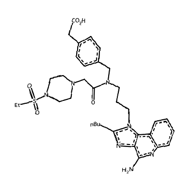 CCCCc1nc2c(N)nc3ccccc3c2n1CCCN(Cc1ccc(CC(=O)O)cc1)C(=O)CN1CCN(S(=O)(=O)CC)CC1